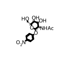 CC(=O)N[C@H]1[C@@H](Oc2ccc([N+](=O)[O-])cc2)O[C@H](CO)[C@H](O)[C@@H]1O